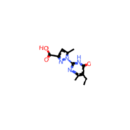 CCc1c(C)nc(-n2nc(C(=O)O)cc2C)[nH]c1=O